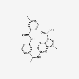 Cc1cncc(C(=O)Nc2cccc(C(C)Nc3cnc4c(n3)c(C)cn4C(=O)O)c2)c1